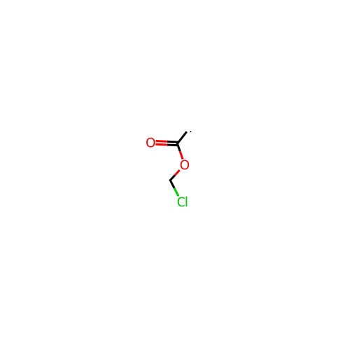 [CH2]C(=O)OCCl